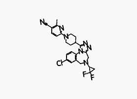 Cc1nc(N2CCC(c3nnc4n3-c3ccc(Cl)cc3CN(C3CC3(F)F)C4)CC2)ccc1C#N